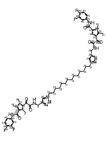 Cc1c(C(=O)C(=O)NCc2cn(CCCCCCCCCCCCCCn3cc(CNC(=O)C(=O)c4cc(C(=O)Nc5ccc(F)c(F)c5)n(C)c4C)nn3)nn2)c(C)n(C)c1C(=O)Nc1ccc(F)c(F)c1